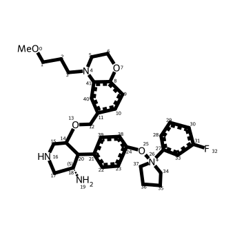 COCCCN1CCOc2ccc(COC3CNC[C@@H](N)C3c3ccc(O[N+]4(c5cccc(F)c5)CCCC4)cc3)cc21